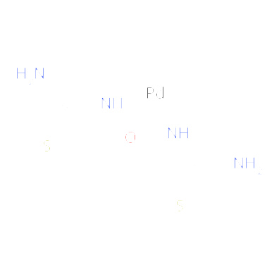 NC(=S)NONC(N)=S.[Pd]